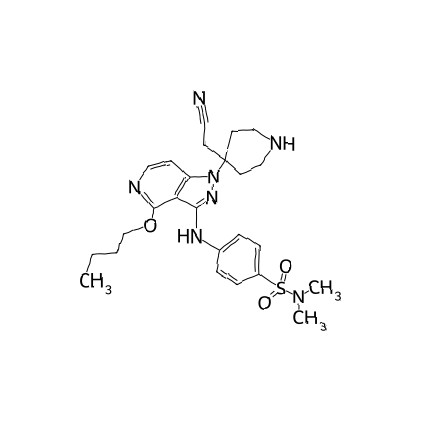 CCCCOc1nccc2c1c(Nc1ccc(S(=O)(=O)N(C)C)cc1)nn2C1(CC#N)CCNCC1